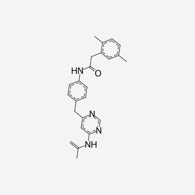 C=C(C)Nc1cc(Cc2ccc(NC(=O)Cc3cc(C)ccc3C)cc2)ncn1